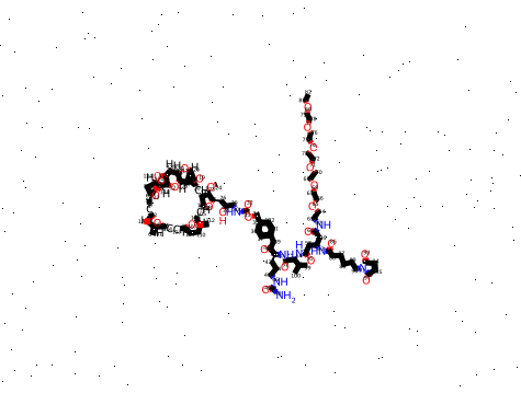 C=C1C[C@@H]2CC[C@@]34C[C@H]5OC6C(O[C@H]7CC[C@H](CC(=O)C[C@@H]8[C@@H](OC)[C@@H](C[C@H](O)CNC(=O)OCc9ccc(CC(=O)[C@H](CCCNC(N)=O)NC(=O)[C@@H](NC(=O)CC(CC(=O)NCCOCCOCCOCCOCCOCCOCC)NC(=O)CCCCCN%10C(=O)C=CC%10=O)C(C)C)cc9)O[C@H]8C[C@H]8O[C@H](CCC8=C)CC[C@@H]1O2)O[C@@H]7[C@@H]6O3)[C@H]5O4